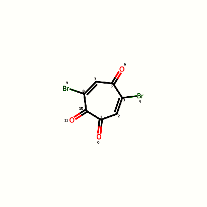 O=C1C=C(Br)C(=O)C=C(Br)C1=O